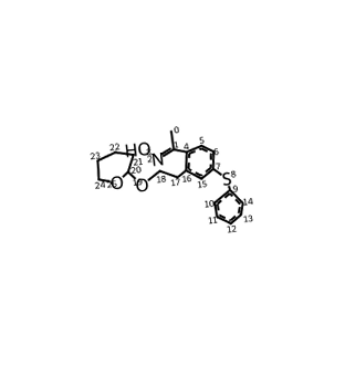 CC(=NO)c1ccc(Sc2ccccc2)cc1CCOC1CCCCO1